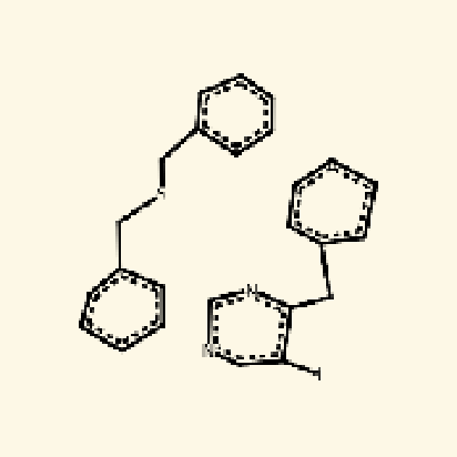 Ic1cncnc1Cc1ccccc1.c1ccc(CSCc2ccccc2)cc1